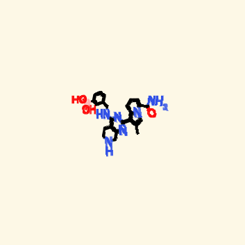 Cc1cn2c(C(N)=O)cccc2c1-c1nc2c(c(NCc3cccc(B(O)O)c3)n1)CCNC2